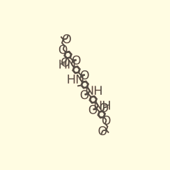 COc1cc(OCCC(C)OC)ccc1C(=O)Nc1ccc(C(=O)Nc2ccc(NC(=O)c3ccc(NC(=O)c4ccc(OCCC(C)OC)cc4OC)cc3)c(C)c2)cc1